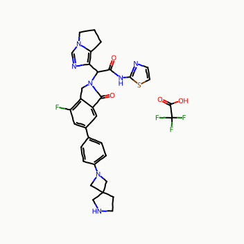 O=C(Nc1nccs1)C(c1ncn2c1CCC2)N1Cc2c(F)cc(-c3ccc(N4CC5(CCNC5)C4)cc3)cc2C1=O.O=C(O)C(F)(F)F